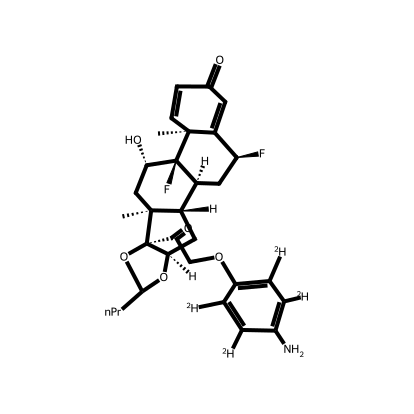 [2H]c1c([2H])c(OCC(=O)[C@@]23OC(CCC)O[C@@H]2C[C@H]2[C@@H]4C[C@H](F)C5=CC(=O)C=C[C@]5(C)[C@@]4(F)[C@@H](O)C[C@@]23C)c([2H])c([2H])c1N